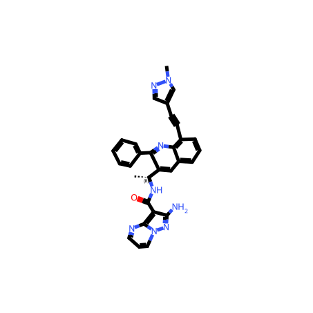 C[C@@H](NC(=O)c1c(N)nn2cccnc12)c1cc2cccc(C#Cc3cnn(C)c3)c2nc1-c1ccccc1